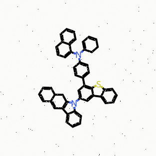 C1=CCCC(N(c2ccc(-c3cc(-n4c5c(c6ccccc64)C=C4C=CC=CC4C5)cc4c3sc3ccccc34)cc2)c2cccc3ccccc23)=C1